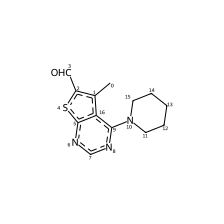 Cc1c(C=O)sc2ncnc(N3CCCCC3)c12